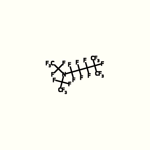 FC(F)(F)C(F)(F)N(C(F)(F)C(F)(F)F)C(F)(F)C(F)(F)C(F)(F)C(F)(C(F)(F)F)C(F)(F)F